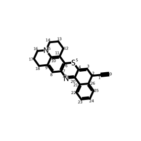 C#CC1C=C2Sc3c(cc4c5c3CCCN5CCC4)N=C2c2ccccc21